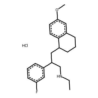 CCNCC(CC1CCCc2cc(OC)ccc21)c1cccc(F)c1.Cl